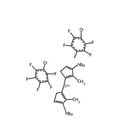 CCCCC1=CC[C]([Zr+2][C]2=C(C)C(CCCC)=CC2)=C1C.[O-]c1c(F)c(F)c(F)c(F)c1F.[O-]c1c(F)c(F)c(F)c(F)c1F